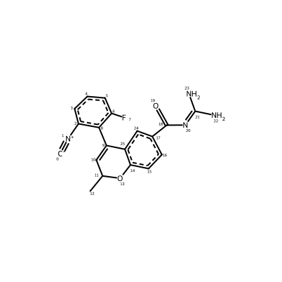 [C-]#[N+]c1cccc(F)c1C1=CC(C)Oc2ccc(C(=O)N=C(N)N)cc21